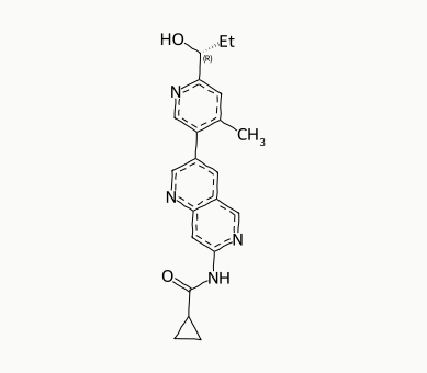 CC[C@@H](O)c1cc(C)c(-c2cnc3cc(NC(=O)C4CC4)ncc3c2)cn1